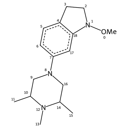 CON1CCc2ccc(N3CC(C)N(C)C(C)C3)cc21